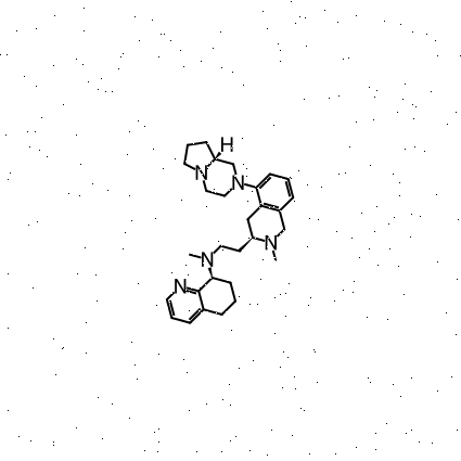 CN1Cc2cccc(N3CCN4CCC[C@@H]4C3)c2C[C@@H]1CCN(C)[C@H]1CCCc2cccnc21